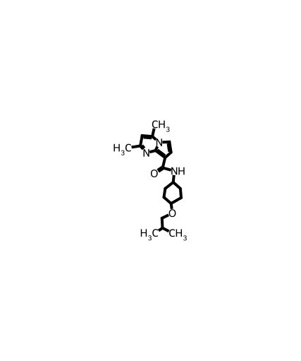 Cc1cc(C)n2ccc(C(=O)NC3CCC(OCC(C)C)CC3)c2n1